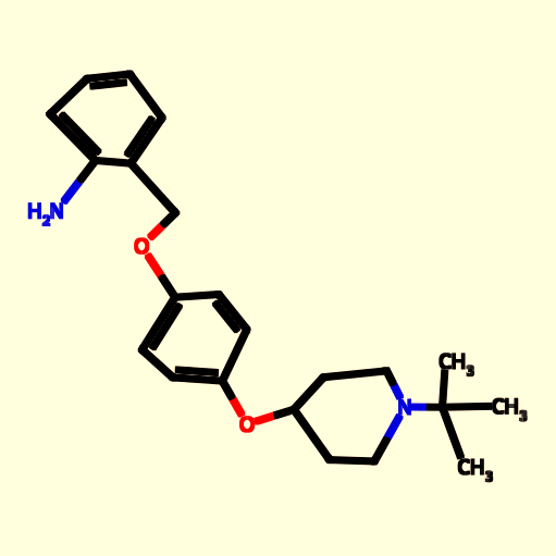 CC(C)(C)N1CCC(Oc2ccc(OCc3ccccc3N)cc2)CC1